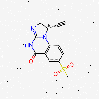 C#C[C@H]1CN=C2NC(=O)c3cc(S(C)(=O)=O)ccc3N21